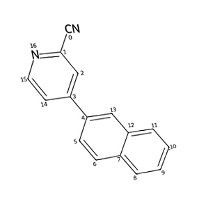 N#Cc1cc(-c2ccc3cc[c]cc3c2)ccn1